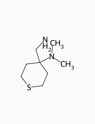 CN(C)C1(CN)CCSCC1